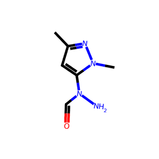 Cc1cc(N(N)C=O)n(C)n1